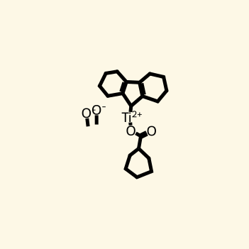 C[O-].C[O-].O=C([O][Ti+2][CH]1C2=C(CCCC2)C2=C1CCCC2)C1CCCCC1